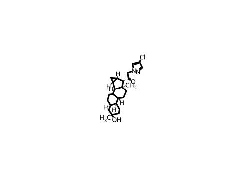 C[C@@]1(O)CC[C@H]2[C@H](CCC3[C@@H]4[C@@H]5C[C@@H]5[C@H](C(=O)Cn5cc(Cl)cn5)[C@@]4(C)CC[C@@H]32)C1